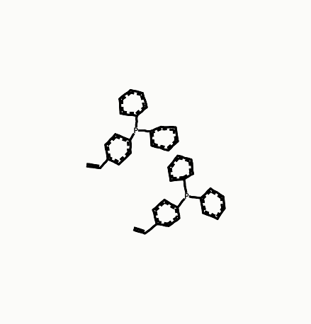 C=Cc1ccc(P(c2ccccc2)c2ccccc2)cc1.C=Cc1ccc(P(c2ccccc2)c2ccccc2)cc1